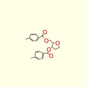 Cc1ccc(C(=O)OCC2OCCC2OC(=O)c2ccc(C)cc2)cc1